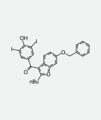 CCCCc1oc2cc(OCc3ccccc3)ccc2c1C(=O)c1cc(I)c(O)c(I)c1